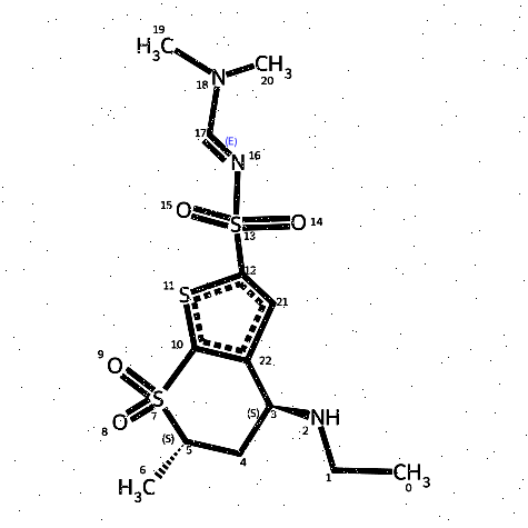 CCN[C@H]1C[C@H](C)S(=O)(=O)c2sc(S(=O)(=O)/N=C/N(C)C)cc21